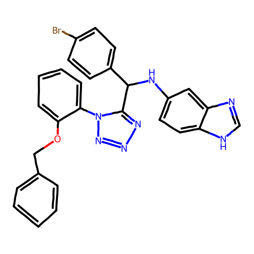 Brc1ccc(C(Nc2ccc3[nH]cnc3c2)c2nnnn2-c2ccccc2OCc2ccccc2)cc1